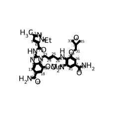 CCn1nc(C)cc1C(=O)Nc1nc2cc(C(N)=O)cc(OC)c2n1CC=CCNc1c(OCC2COC2)cc(C(N)=O)cc1[N+](=O)[O-]